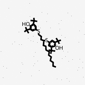 CCCCCCCCCCC(CCCSc1cc(C(C)(C)C)c(O)c(C(C)(C)C)c1)Sc1cc(C(C)(C)C)c(O)c(C(C)(C)C)c1